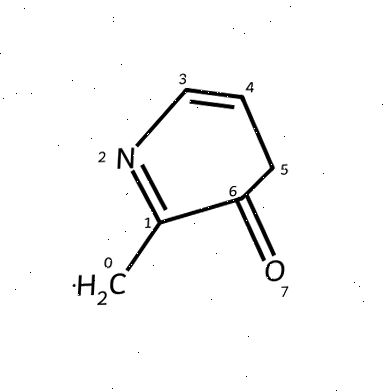 [CH2]C1=NC=CCC1=O